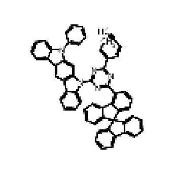 C#C/C=C\C(=C/C)c1nc(-c2cccc3c2-c2ccccc2C32c3ccccc3-c3ccccc32)nc(-n2c3ccccc3c3cc4c5ccccc5n(-c5ccccc5)c4cc32)n1